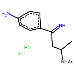 CC(=O)NC(C)CC(=N)c1ccc(N)cc1.Cl.Cl